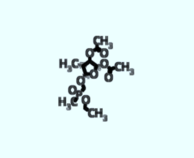 CCOP(C)(=O)CO[C@H]1O[C@@H](OC(C)=O)C(OC(C)=O)[C@H]1C